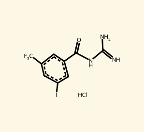 Cl.N=C(N)NC(=O)c1cc(I)cc(C(F)(F)F)c1